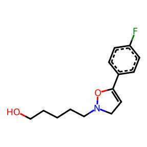 OCCCCCN1CC=C(c2ccc(F)cc2)O1